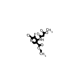 CCOC(=O)c1cnc(Cl)c(F)c1NC(=O)CC(=O)OC